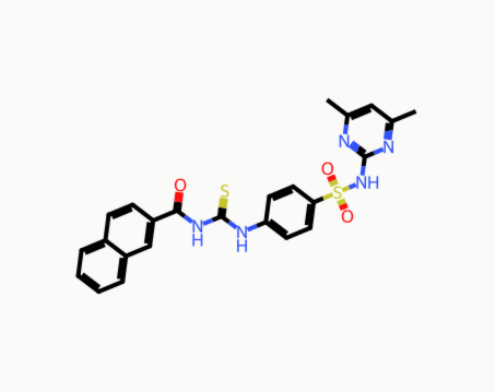 Cc1cc(C)nc(NS(=O)(=O)c2ccc(NC(=S)NC(=O)c3ccc4ccccc4c3)cc2)n1